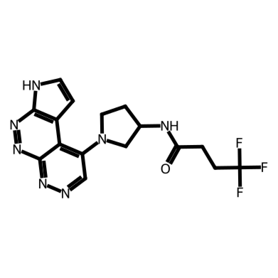 O=C(CCC(F)(F)F)NC1CCN(c2cnnc3nnc4[nH]ccc4c23)C1